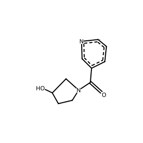 O=C(c1cc[c]nc1)N1CCC(O)C1